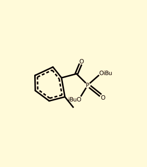 Cc1ccccc1C(=O)P(=O)(OCC(C)C)OCC(C)C